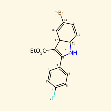 CCOC(=O)C1=C(c2ccc(F)cc2)NC2C=CC(Br)=CC12